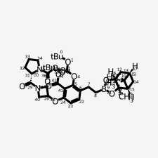 CC(C)(C)OC(=O)Oc1c(CCB2O[C@@H]3C[C@@H]4C[C@@H](C4(C)C)[C@]3(C)O2)ccc(OC2CN(C(=O)[C@@H]3CCCN3C(=O)OC(C)(C)C)C2)c1C(=O)OC(C)(C)C